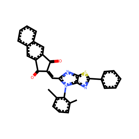 Cc1cccc(C)c1-n1c(C=C2C(=O)c3cc4ccccc4cc3C2=O)nc2sc(-c3ccccc3)nc21